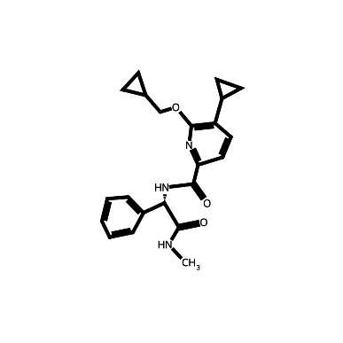 CNC(=O)[C@@H](NC(=O)c1ccc(C2CC2)c(OCC2CC2)n1)c1ccccc1